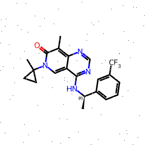 Cc1c(=O)n(C2(C)CC2)cc2c(N[C@H](C)c3cccc(C(F)(F)F)c3)ncnc12